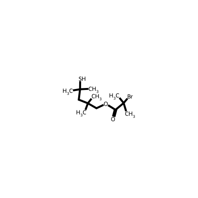 CC(C)(S)CC(C)(C)COC(=O)C(C)(C)Br